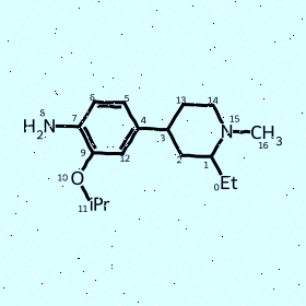 CCC1CC(c2ccc(N)c(OC(C)C)c2)CCN1C